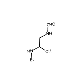 CCNC(O)CNC=O